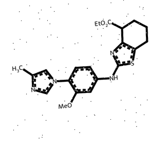 CCOC(=O)C1CCCc2sc(Nc3ccc(-n4cnc(C)c4)c(OC)c3)nc21